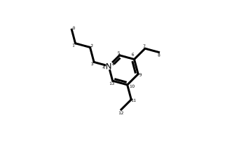 CCCC[n+]1cc(CC)cc(CC)c1